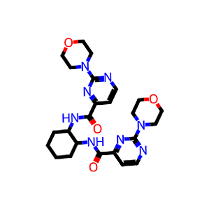 O=C(NC1CCCCC1NC(=O)c1ccnc(N2CCOCC2)n1)c1ccnc(N2CCOCC2)n1